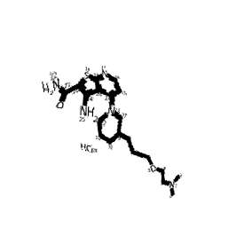 CN(C)CCOCCCC1CCCN(c2ccnc3sc(C(N)=O)c(N)c23)C1.Cl